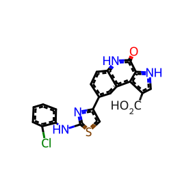 O=C(O)c1c[nH]c2c(=O)[nH]c3ccc(-c4csc(Nc5ccccc5Cl)n4)cc3c12